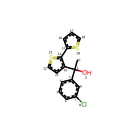 CC(O)(c1cccc(Cl)c1)c1ccsc1-c1cccs1